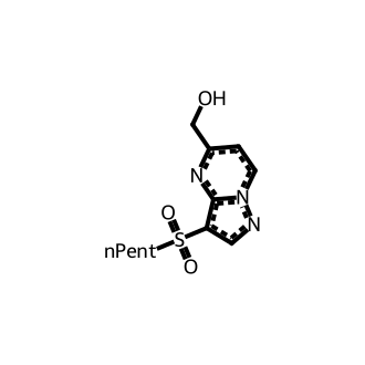 CCCCCS(=O)(=O)c1cnn2ccc(CO)nc12